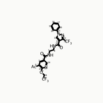 CC(=O)c1cc(C(=O)NCCNC(=O)c2cn(-c3ccccc3)nc2C(F)(F)F)cnc1OCC(F)(F)F